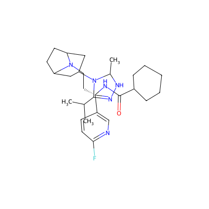 CC(C)C1=NNC(C)N1C1CC2CCC(C1)N2CC[C@H](NC(=O)C1CCCCC1)c1ccc(F)nc1